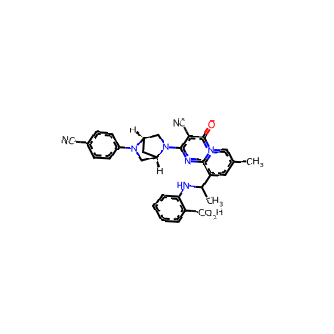 Cc1cc(C(C)Nc2ccccc2C(=O)O)c2nc(N3C[C@@H]4C[C@H]3CN4c3ccc(C#N)cc3)c(C#N)c(=O)n2c1